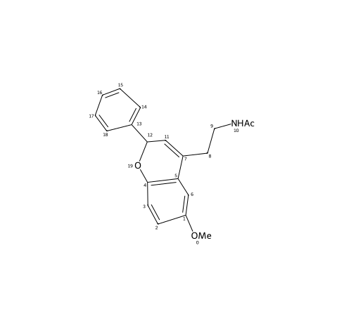 COc1ccc2c(c1)C(CCNC(C)=O)=CC(c1ccccc1)O2